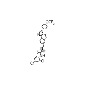 FC(F)(F)Oc1ccc(-n2cnc3c4ccc(/C=N/NC(=S)Nc5ccc(Cl)cc5Cl)cc4ccc32)cc1